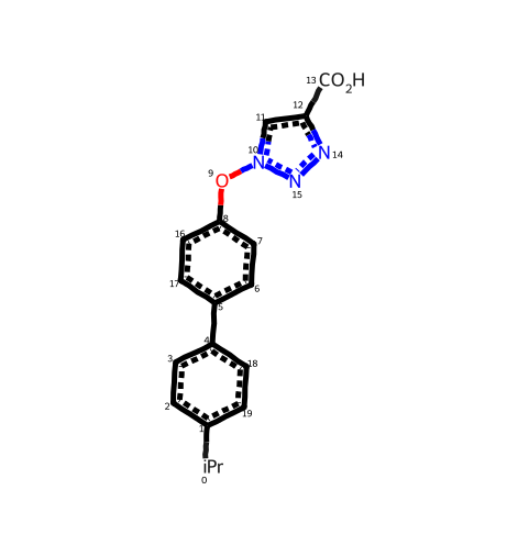 CC(C)c1ccc(-c2ccc(On3cc(C(=O)O)nn3)cc2)cc1